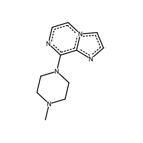 CN1CCN(c2nccn3c[c]nc23)CC1